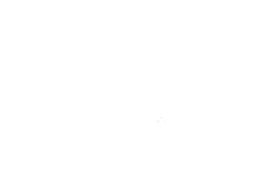 CC(C)Cc1ccc2c(c1)CCO2